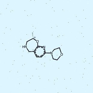 C[C@H]1CNCc2ccc(N3CCOCC3)nc2O1